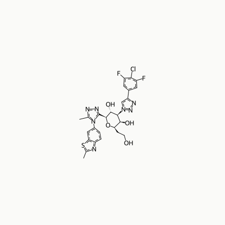 Cc1nc2ccc(-n3c(C)nnc3[C@@H]3O[C@H](CCO)[C@H](O)[C@H](n4cc(-c5cc(F)c(Cl)c(F)c5)nn4)[C@H]3O)cc2s1